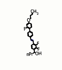 C=CCCOc1ccc(-c2ccc(/C=C/c3ccc(C(O)CCC)c(F)c3F)cc2)c(F)c1